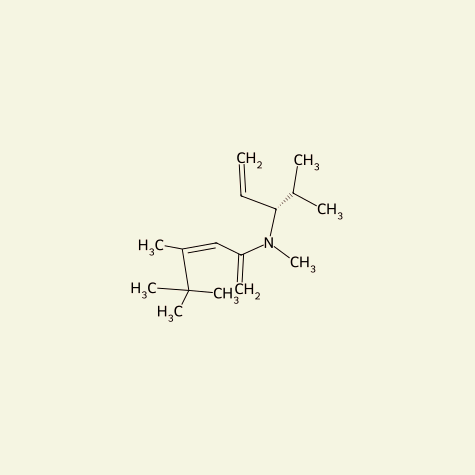 C=C[C@H](C(C)C)N(C)C(=C)/C=C(/C)C(C)(C)C